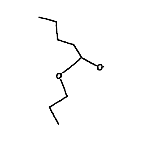 CCCCC([O])OCCC